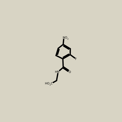 O=C(O)CNC(=O)c1ccc([N+](=O)[O-])cc1F